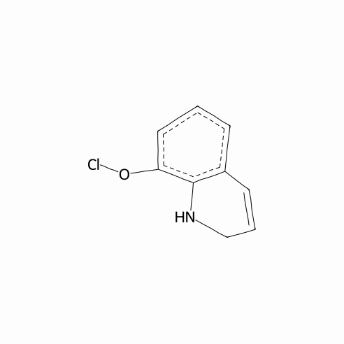 ClOc1cccc2c1NCC=C2